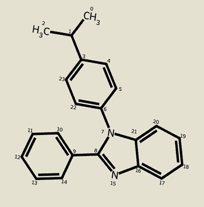 CC(C)c1ccc(-n2c(-c3ccccc3)nc3ccccc32)cc1